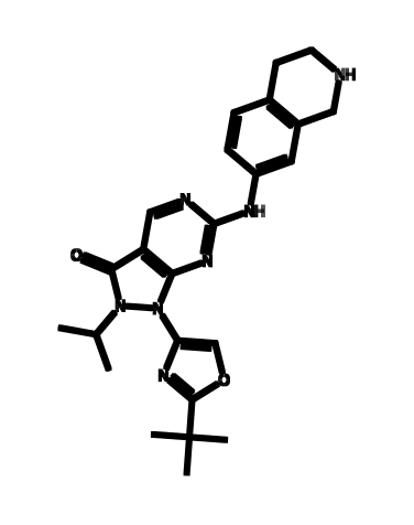 CC(C)n1c(=O)c2cnc(Nc3ccc4c(c3)CNCC4)nc2n1-c1coc(C(C)(C)C)n1